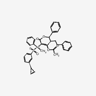 CC(=O)OC1=C([N+](C)(c2ccccc2)S(=O)(=O)c2cccc(C3CC3)c2)C(=O)OC(c2ccccc2)C1CCc1ccccc1